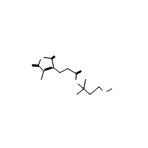 CC1=C(CCC(=O)OC(C)(C)CCOC(C)(C)C)C(=O)OC1=O